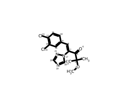 COC(C)(C)C(=O)C(=Cc1ccc(Cl)c(Cl)c1)n1cncn1